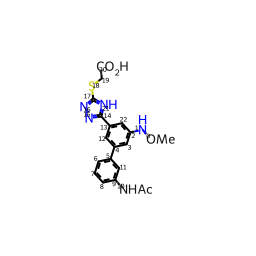 CONc1cc(-c2cccc(NC(C)=O)c2)cc(-c2nnc(SCC(=O)O)[nH]2)c1